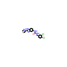 O=C(NCc1ccc(Cl)c(Cl)c1)Nc1ccc2[nH]c(-c3cscn3)nc2c1